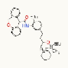 CC(C)(C)c1ccc(CCC(CC2CCCCC2)O[Si](C)(C)C(C)(C)C)cc1NC(=O)C1c2ccccc2COc2ccccc21